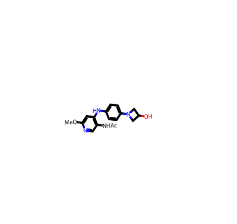 COc1cc(Nc2ccc(N3CC(O)C3)cc2)c(NC(C)=O)cn1